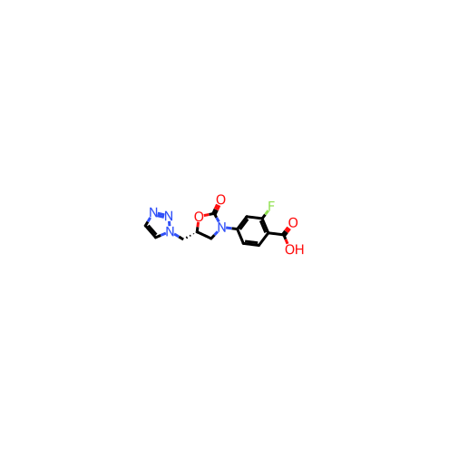 O=C(O)c1ccc(N2C[C@H](Cn3ccnn3)OC2=O)cc1F